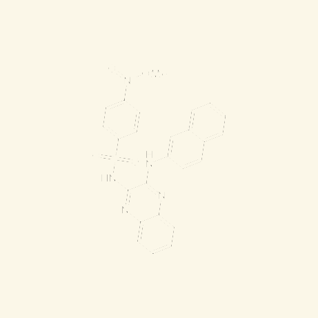 CO[N+](=O)c1ccc(S(=O)(=O)Nc2nc3ccccc3nc2Nc2ccc3ccccc3c2)cc1